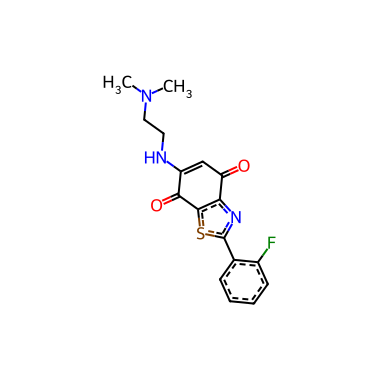 CN(C)CCNC1=CC(=O)c2nc(-c3ccccc3F)sc2C1=O